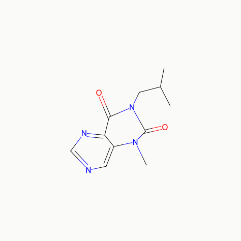 CC(C)Cn1c(=O)c2ncncc2n(C)c1=O